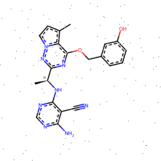 Cc1ccn2nc([C@H](C)Nc3ncnc(N)c3C#N)nc(OCc3cccc(O)c3)c12